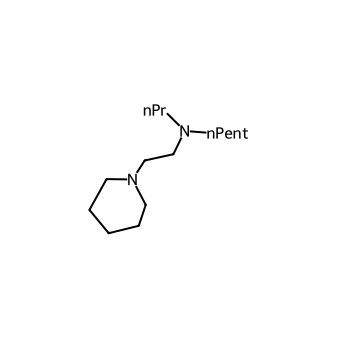 CCCCCN(CCC)CCN1CCCCC1